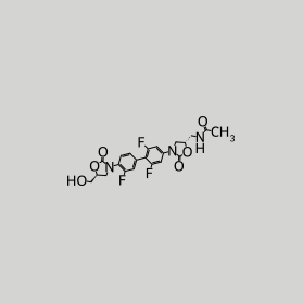 CC(=O)NC[C@H]1CN(c2cc(F)c(-c3ccc(N4C[C@@H](CO)OC4=O)c(F)c3)c(F)c2)C(=O)O1